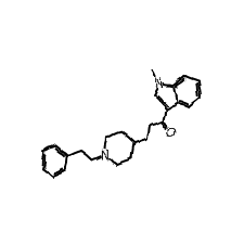 Cn1cc(C(=O)CCC2CCN(CCc3ccccc3)CC2)c2ccccc21